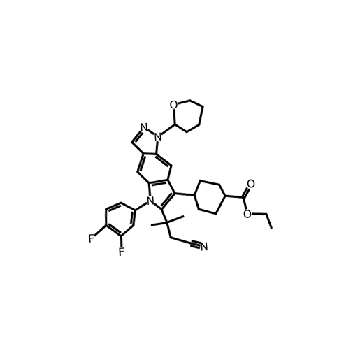 CCOC(=O)C1CCC(c2c(C(C)(C)CC#N)n(-c3ccc(F)c(F)c3)c3cc4cnn(C5CCCCO5)c4cc23)CC1